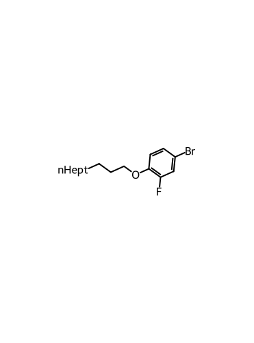 CCCCCCCCCCOc1ccc(Br)cc1F